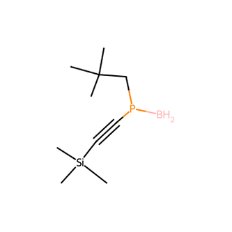 BP(C#C[Si](C)(C)C)CC(C)(C)C